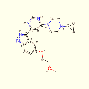 COCCOc1ccc2[nH]nc(-c3cc(N4CCN(C5CC5)CC4)ncn3)c2c1